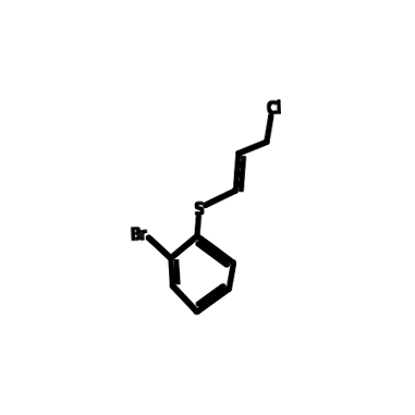 ClCC=CSc1ccccc1Br